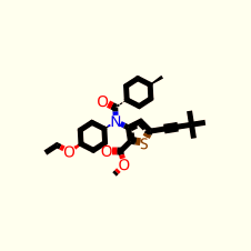 CCO[C@H]1CC[C@H](N(c2cc(C#CC(C)(C)C)sc2C(=O)OC)C(=O)[C@H]2CC[C@H](C)CC2)CC1